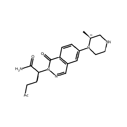 CC(=O)CCC(C(N)=O)n1ncc2cc(N3CCNC[C@@H]3C)ccc2c1=O